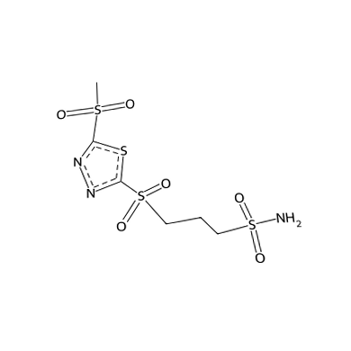 CS(=O)(=O)c1nnc(S(=O)(=O)CCCS(N)(=O)=O)s1